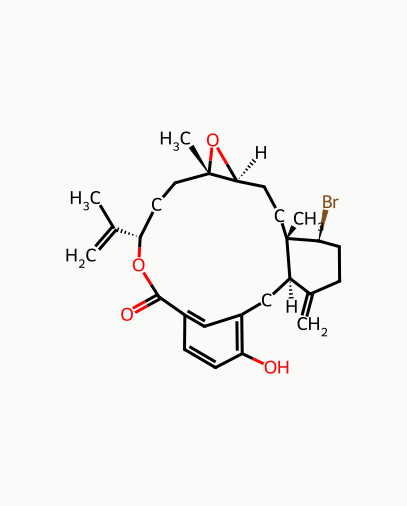 C=C(C)[C@@H]1CC[C@]2(C)O[C@H]2CC[C@@]2(C)[C@H](Cc3cc(ccc3O)C(=O)O1)C(=C)CC[C@@H]2Br